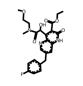 CCOC(=O)c1c(C(O)C(=O)N(C)CCOC)c2ncc(Cc3ccc(F)cc3)cc2[nH]c1=O